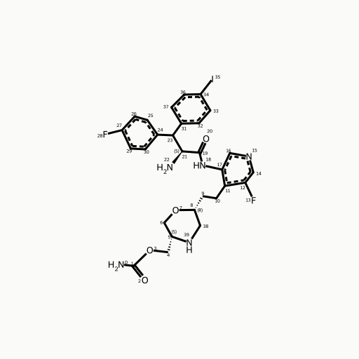 NC(=O)OC[C@@H]1CO[C@H](CCc2c(F)cncc2NC(=O)[C@@H](N)C(c2ccc(F)cc2)c2ccc(I)cc2)CN1